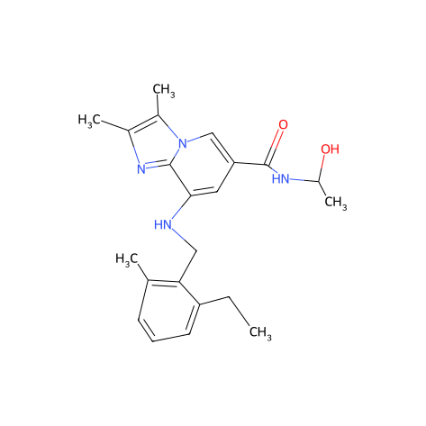 CCc1cccc(C)c1CNc1cc(C(=O)NC(C)O)cn2c(C)c(C)nc12